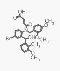 COc1ccc(CN(C(=O)C=CC(=O)O)c2ccc(Br)cc2C(O)c2cccc(OC)c2C)c(OC)c1